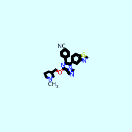 CN1CCCC(COc2nc(-c3ccc(C#N)cc3)c(-c3ccc4scnc4c3)n3cncc23)C1